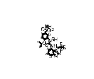 CC(C)Oc1ccc(S(N)(=O)=O)cc1N(S)C(=O)Nc1cccc2ncn(CC(F)(F)F)c12